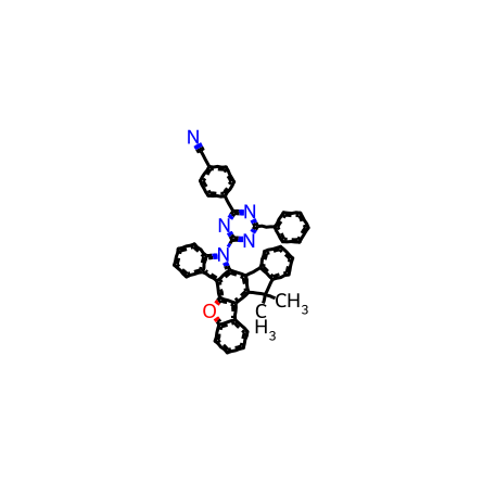 CC1(C)c2ccccc2-c2c1c1c3ccccc3oc1c1c3ccccc3n(-c3nc(-c4ccccc4)nc(-c4ccc(C#N)cc4)n3)c21